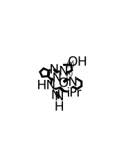 CC(C)c1cc(Nc2nc(N3C[C@H](O)C[C@@H]3C(=O)N3CCCCC3)nc3c2CCC3)n[nH]1